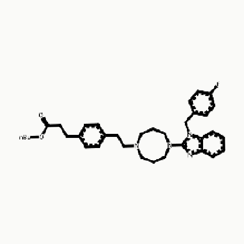 CCCCOC(=O)CCc1ccc(CCN2CCCN(c3nc4ccccc4n3Cc3ccc(F)cc3)CCC2)cc1